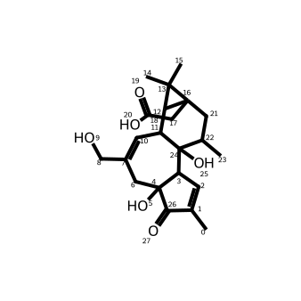 CC1=CC2C(O)(CC(CO)=CC3C4C(C)(C)C4(CC(=O)O)CC(C)C32O)C1=O